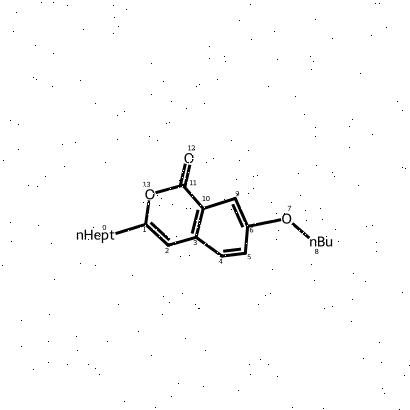 CCCCCCCc1cc2ccc(OCCCC)cc2c(=O)o1